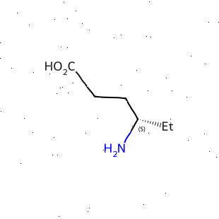 CC[C@H](N)CCC(=O)O